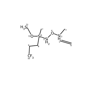 C=C[SiH](C)O[SiH2][Si](C)(CCC(F)(F)F)O[SiH3]